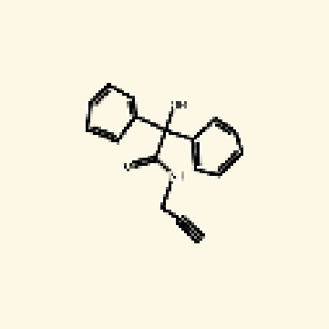 C#CCNC(=O)C(O)(c1ccccc1)c1ccccc1